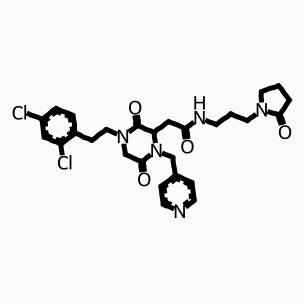 O=C(CC1C(=O)N(CCc2ccc(Cl)cc2Cl)CC(=O)N1Cc1ccncc1)NCCCN1CCCC1=O